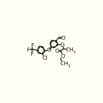 CCOC(=O)C(C)Oc1cc(Oc2ccc(C(F)(F)F)cc2Cl)ccc1C=O